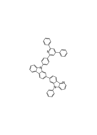 c1ccc(-c2cc(-c3ccccc3)nc(-c3ccc(-n4c5ccccc5c5ccc(-c6ccc7c8ncccc8n(-c8ccccc8)c7c6)cc54)cc3)c2)cc1